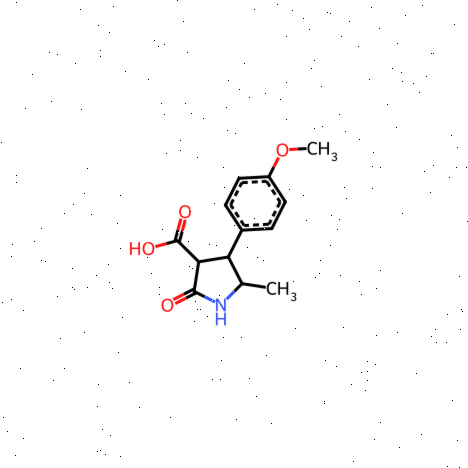 COc1ccc(C2C(C)NC(=O)C2C(=O)O)cc1